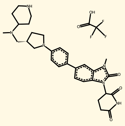 CN(C[C@@H]1CCN(c2ccc(-c3ccc4c(c3)n(C)c(=O)n4C3CCC(=O)NC3=O)cc2)C1)C1CCNCC1.O=C(O)C(F)(F)F